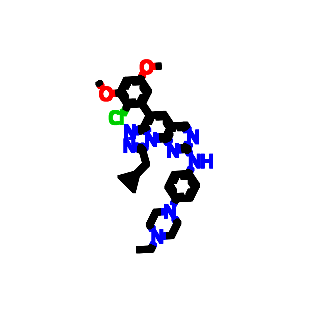 CCN1CCN(c2ccc(Nc3ncc4cc(-c5cc(OC)cc(OC)c5Cl)c5nnc(CC6CC6)n5c4n3)cc2)CC1